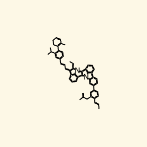 C=C(C)Cc1cc(-c2ccc3c4cccc5c6c(c7cccc8c(=C/C=C/c9ccc(C%10=C(C)C=CCC%10)c(C(C)C)c9)/c(=C\C)n6c87)n(c3c2)c45)ccc1C=CC